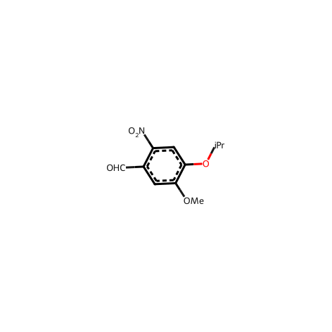 COc1cc(C=O)c([N+](=O)[O-])cc1OC(C)C